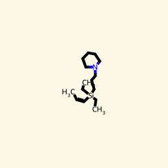 C/C=C\[Si](CC)(CC)CCCN1CCCCC1